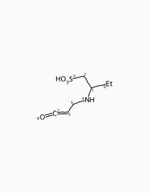 CCC(CS(=O)(=O)O)NCC=C=O